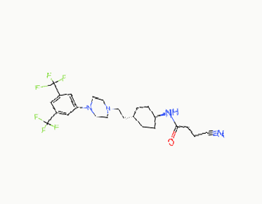 N#CCCC(=O)N[C@H]1CC[C@H](CCN2CCN(c3cc(C(F)(F)F)cc(C(F)(F)F)c3)CC2)CC1